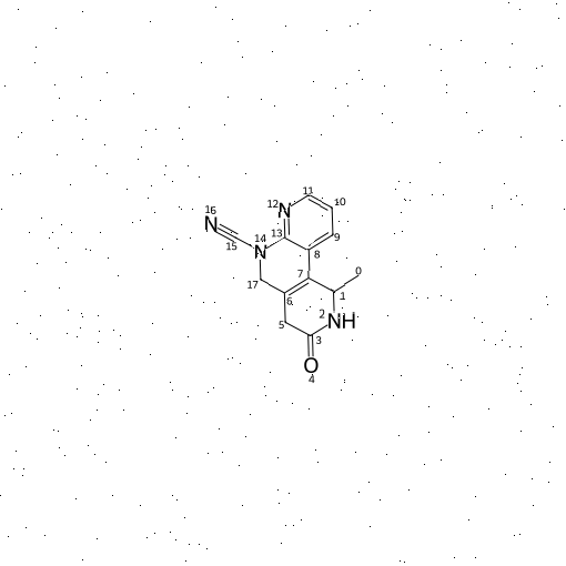 CC1NC(=O)CC2=C1c1cccnc1N(C#N)C2